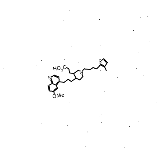 COc1ccc2nccc(CCCC3CCN(CCCCc4sccc4C)CC3CCC(=O)O)c2c1